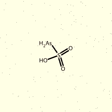 O=S(=O)(O)[AsH2]